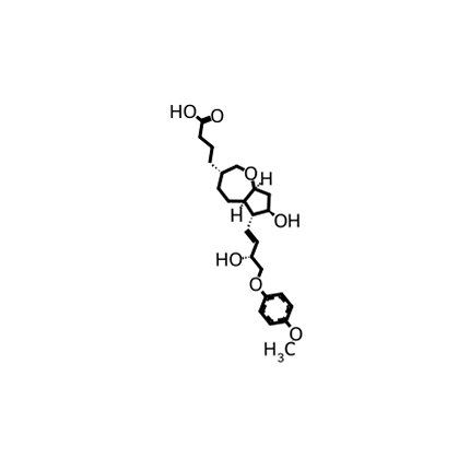 COc1ccc(OC[C@H](O)/C=C/[C@@H]2[C@H]3CC[C@H](CCCC(=O)O)CO[C@H]3C[C@H]2O)cc1